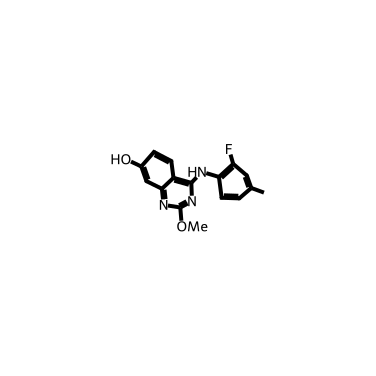 COc1nc(Nc2ccc(C)cc2F)c2ccc(O)cc2n1